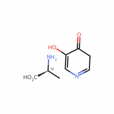 C[C@H](N)C(=O)O.O=C1CC=NC=C1O